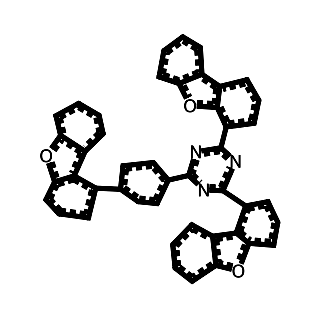 c1ccc2c(c1)oc1c(-c3nc(-c4ccc(-c5cccc6oc7ccccc7c56)cc4)nc(-c4cccc5oc6ccccc6c45)n3)cccc12